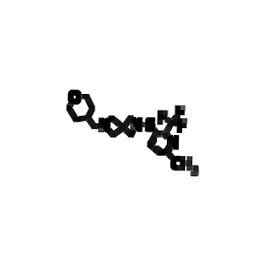 Cc1ccc(SN2CC3(CN(CC4CCOCC4)C3)C2)c(C(F)(F)F)n1